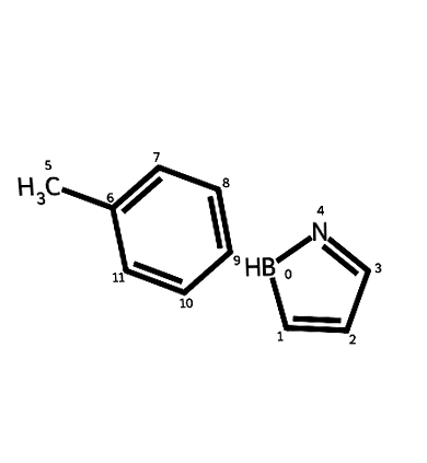 B1C=CC=N1.Cc1ccccc1